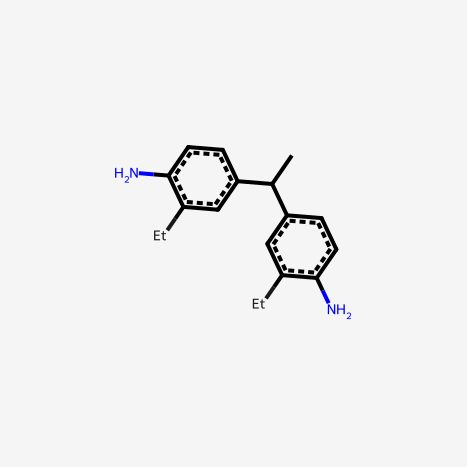 CCc1cc(C(C)c2ccc(N)c(CC)c2)ccc1N